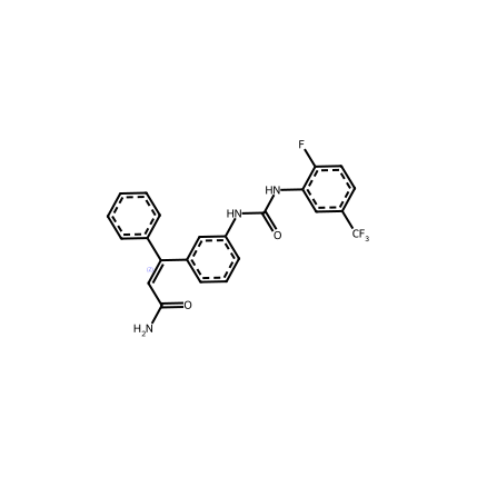 NC(=O)/C=C(/c1ccccc1)c1cccc(NC(=O)Nc2cc(C(F)(F)F)ccc2F)c1